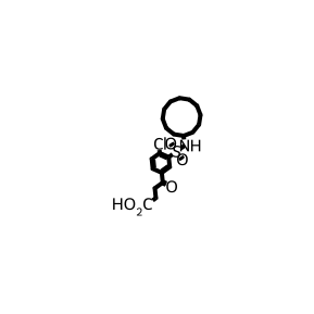 O=C(O)CCC(=O)c1ccc(Cl)c(S(=O)(=O)NC2CCCCCCCCCCC2)c1